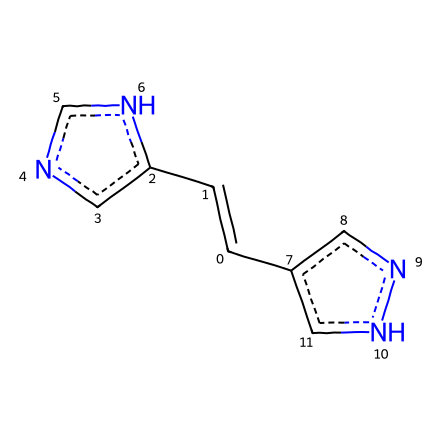 C(=C\c1cnc[nH]1)/c1cn[nH]c1